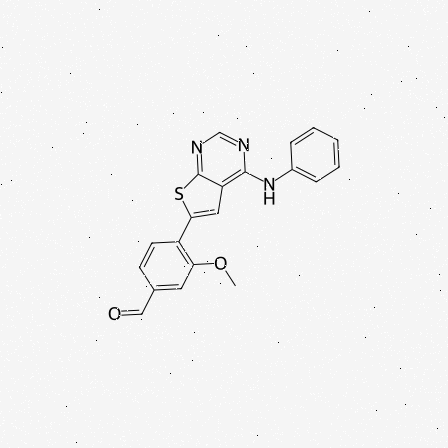 COc1cc(C=O)ccc1-c1cc2c(Nc3ccccc3)ncnc2s1